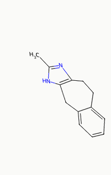 Cc1nc2c([nH]1)Cc1ccccc1CC2